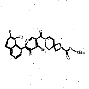 CC(C)(C)OC(=O)N1CC2(CCN(C(=O)c3cnc(-c4cccc5ccc(F)c(Cl)c45)c(F)c3N)CC2)C1